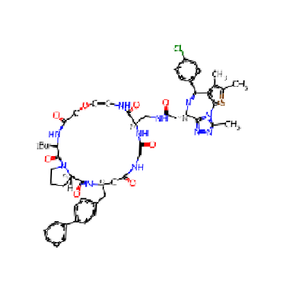 Cc1sc2c(c1C)C(c1ccc(Cl)cc1)=N[C@@H](CC(=O)NC[C@H]1NC(=O)CNC(=O)C[C@@H](Cc3ccc(-c4ccccc4)cc3)NC(=O)[C@@H]3CCCN3C(=O)C(C(C)(C)C)NC(=O)COCCNC1=O)c1nnc(C)n1-2